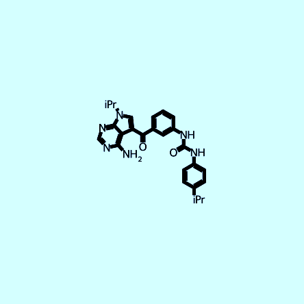 CC(C)c1ccc(NC(=O)Nc2cccc(C(=O)c3cn(C(C)C)c4ncnc(N)c34)c2)cc1